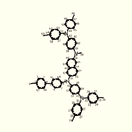 Cc1ccc(-c2ccc(N(c3ccc(N(c4ccc(C)cc4)c4ccc(C)cc4)cc3)c3ccc4cc(N(C)c5ccc(N(c6ccc(C)cc6)c6ccc(C)cc6)cc5)ccc4c3)cc2)cc1